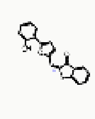 N#Cc1ccccc1-c1ccc(/C=C2/Sc3ccccc3C2=O)o1